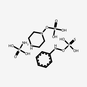 NP(=O)(O)O.O=P(O)(O)ON1CCNCC1.OP(O)(=S)ONc1ccccc1